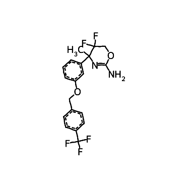 CC1(c2cccc(OCc3ccc(C(F)(F)F)cc3)c2)N=C(N)OCC1(F)F